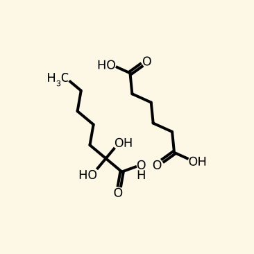 CCCCCC(O)(O)C(=O)O.O=C(O)CCCCC(=O)O